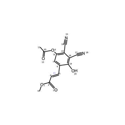 COC(=O)/C=C/c1cc(OC(C)=O)c(C#N)c(C#N)c1O